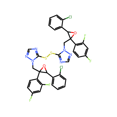 Fc1ccc(C2(Cn3ncnc3SSc3ncnn3CC3(c4ccc(F)cc4F)OC3c3ccccc3Cl)OC2c2ccccc2Cl)c(F)c1